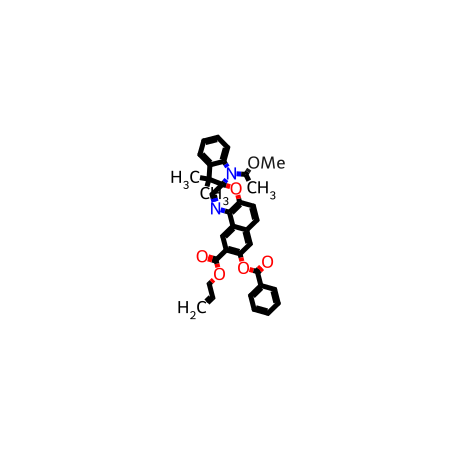 C=CCOC(=O)c1cc2c3c(ccc2cc1OC(=O)c1ccccc1)OC1(C=N3)N(C(C)OC)c2ccccc2C1(C)C